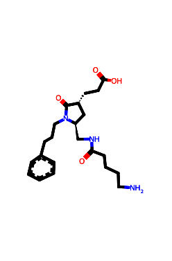 NCCCCC(=O)NC[C@@H]1C[C@@H](CCC(=O)O)C(=O)N1CCCc1ccccc1